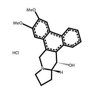 COc1cc2c3c(c4ccccc4c2cc1OC)[C@H](O)[C@@H]1CCCN1C3.Cl